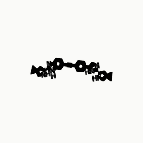 C(#Cc1ccc2nc([C@@H]3CC4(CC4)CN3)[nH]c2c1)c1ccc(-c2cnc([C@@H]3CC4(CC4)CN3)[nH]2)cc1